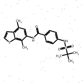 Cc1cc(NC(=O)c2ccc(NS(=O)(=O)C(C)(C)C)cc2)c(C)c2sccc12